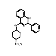 CCOC(=O)N1CCC(NC2=NC(c3ccncc3)Nc3ccccc32)CC1